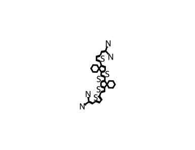 N#CC(C#N)=Cc1ccc(C2=Cc3sc4c5c(sc4c3C23CCCCC3)-c2sc(-c3ccc(C=C(C#N)C#N)s3)cc2C52CCCCC2)s1